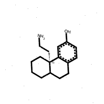 NCC[C@@]12CCCCC1CCc1ccc(O)cc12